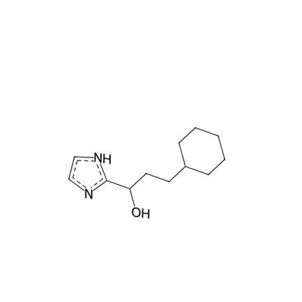 OC(CCC1CCCCC1)c1ncc[nH]1